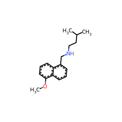 COc1cccc2c(CNCCC(C)C)cccc12